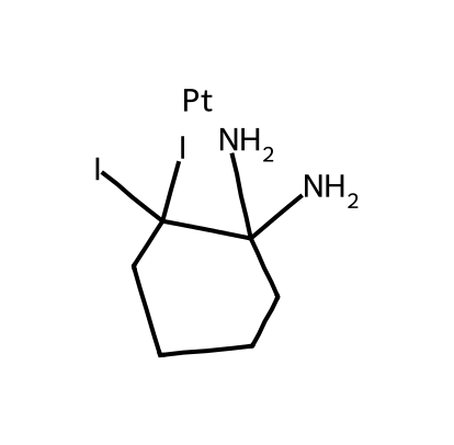 NC1(N)CCCCC1(I)I.[Pt]